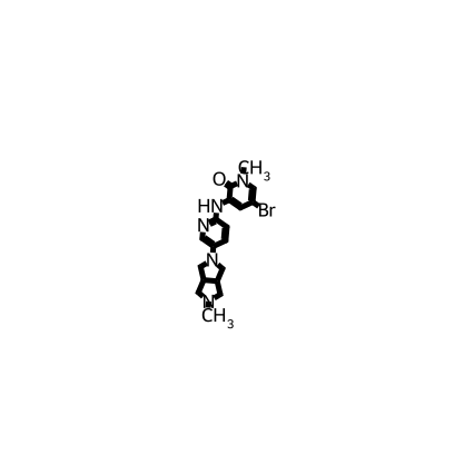 CN1CC2CN(c3ccc(Nc4cc(Br)cn(C)c4=O)nc3)CC2C1